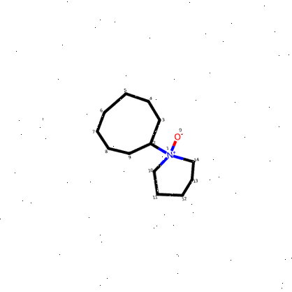 [O-][N+]1(C2CCCCCCC2)CCCCC1